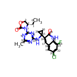 CC[C@H]1COC(=O)N1c1nc(C)nc(NC2(c3cc4cc(Cl)cc(F)c4[nH]c3=O)CC2)n1